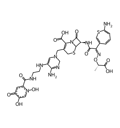 C[C@H](O/N=C(\C(=O)N[C@@H]1C(=O)N2C(C(=O)O)=C(CN3C=C(NCCNC(=O)c4cc(=O)c(O)cn4O)C(N)=NC3)CSC12)C1=CSC(N)=CC=C1)C(=O)O